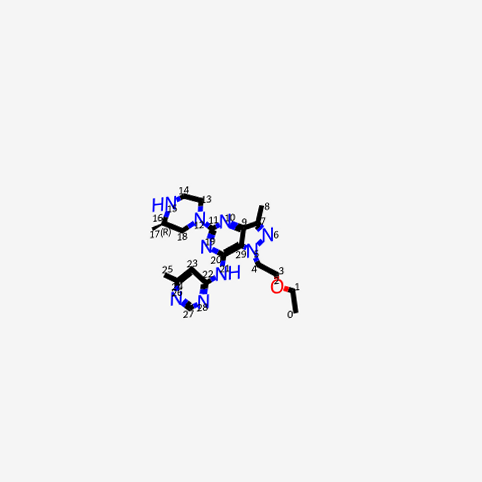 CCOCCn1nc(C)c2nc(N3CCN[C@H](C)C3)nc(Nc3cc(C)ncn3)c21